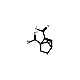 O=C(Cl)C1=CC2CCC1(C(=O)Cl)C2